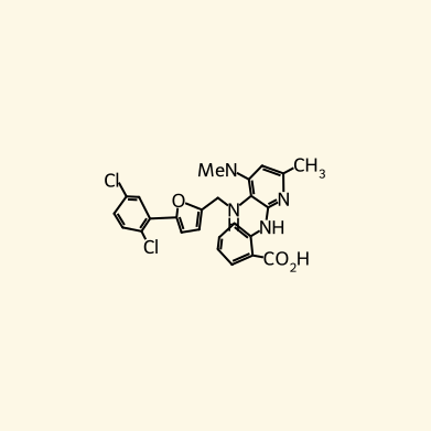 CNc1cc(C)nc(Nc2ccccc2C(=O)O)c1NCc1ccc(-c2cc(Cl)ccc2Cl)o1